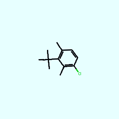 Cc1ccc(Cl)c(C)c1C(C)(C)C